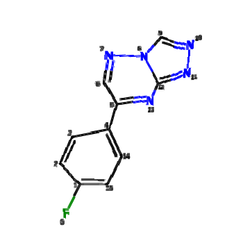 Fc1ccc(-c2cnn3cnnc3n2)cc1